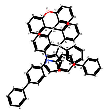 c1ccc(-c2ccc(N(c3ccc(-c4ccccc4)cc3)c3cccc4c3[Si](c3ccccc3)(c3ccccc3)c3ccccc3[Si]43c4ccccc4Oc4ccccc43)cc2)cc1